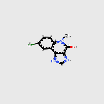 Cn1c(=O)c2nc[nH]c2c2cc(Cl)ccc21